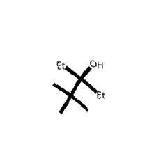 [CH2]CC(O)(CC)C(C)(C)C